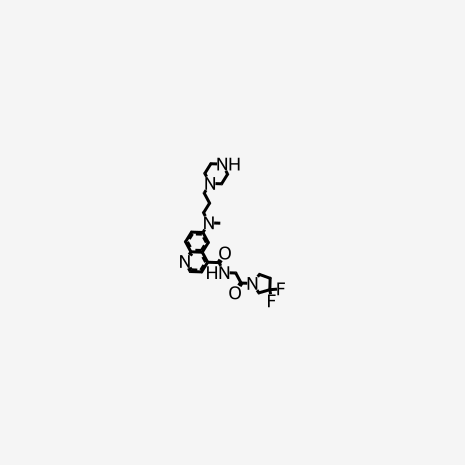 CN(CCCN1CCNCC1)c1ccc2nccc(C(=O)NCC(=O)N3CCC(F)(F)C3)c2c1